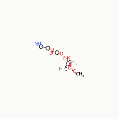 CCOCCOC(=O)C(CC)CC(C)C(=O)OCCOc1ccc(C(=O)Oc2ccc(-c3ccc(CN)cc3)cc2)cc1